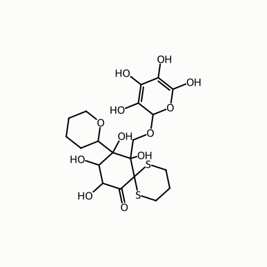 O=C1C(O)C(O)C(O)(C2CCCCO2)C(O)(COC2OC(O)=C(O)C(O)=C2O)C12SCCCS2